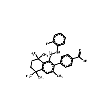 Cc1cc2c(c(NNc3ccccc3F)c1-c1ccc(C(=O)O)cc1)C(C)(C)CCC2(C)C